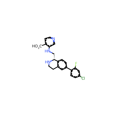 O=C(O)c1ccncc1NC[C@H]1NCCc2cc(-c3ccc(Cl)cc3F)ccc21